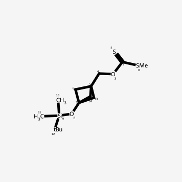 C[SH2]C(=S)OCC12CC(O[Si](C)(C)C(C)(C)C)(C1)C2